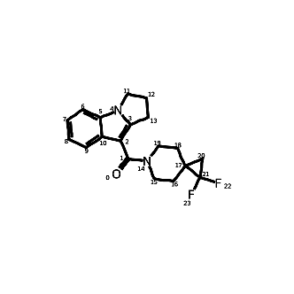 O=C(c1c2n(c3ccccc13)CCC2)N1CCC2(CC1)CC2(F)F